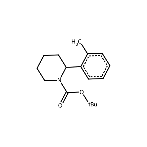 Cc1ccccc1C1CCCCN1C(=O)OC(C)(C)C